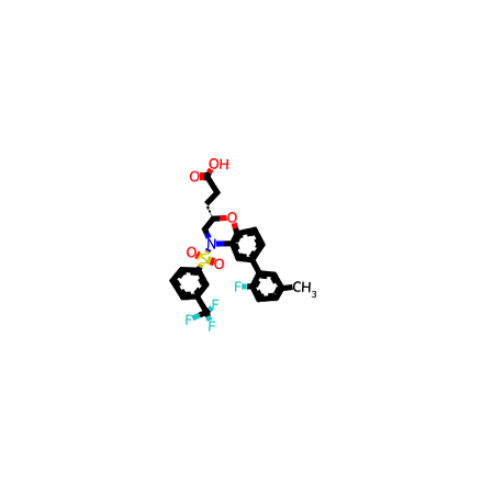 Cc1ccc(F)c(-c2ccc3c(c2)N(S(=O)(=O)c2cccc(C(F)(F)F)c2)C[C@H](CCC(=O)O)O3)c1